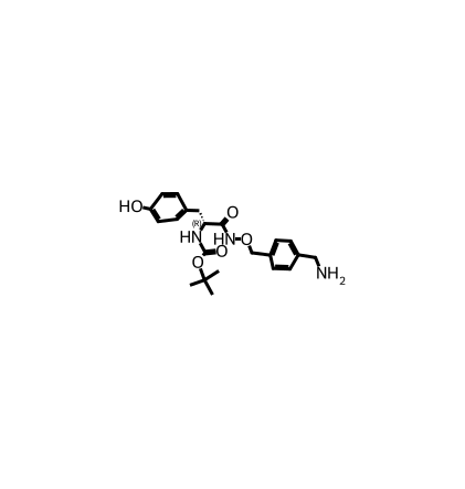 CC(C)(C)OC(=O)N[C@H](Cc1ccc(O)cc1)C(=O)NOCc1ccc(CN)cc1